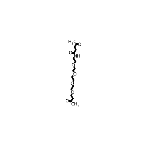 CC(=O)CCOCCOCCOCCOCCNC(=O)CCC(C)=O